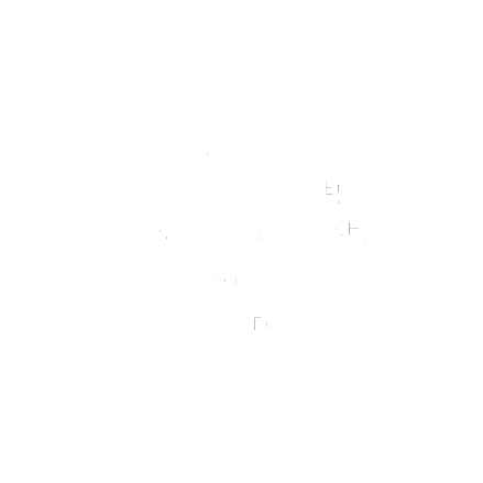 C=C[Si](OCC)(OCC)c1cccs1